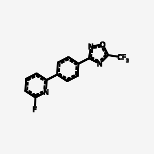 Fc1cccc(-c2ccc(-c3noc(C(F)(F)F)n3)cc2)n1